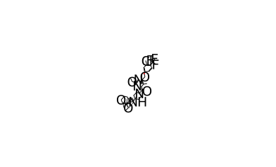 COc1nc(OCc2ccc(C(F)(F)F)c(Cl)c2)c(C)c(C(=O)N2CCC(N[C@@H]3CCOC[C@@H]3OC)CC2)n1